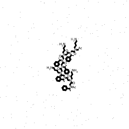 CC(=O)CN(CCCCN)C(=O)CN(C(=O)CN(CCCCN)C(=O)CN(C(=O)CN(C(=O)CN(CCCCN)C(=O)CN(C(=O)CN(CCCCN)C(=O)CN(C(C)=O)[C@@H](C)c1ccccc1)[C@@H](C)c1ccccc1)[C@@H](C)c1ccccc1)[C@@H](C)c1ccccc1)[C@@H](C)c1ccccc1